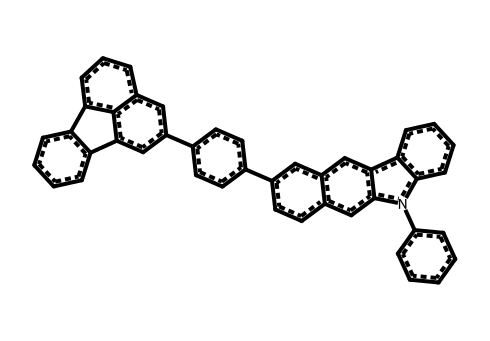 c1ccc(-n2c3ccccc3c3cc4cc(-c5ccc(-c6cc7c8c(cccc8c6)-c6ccccc6-7)cc5)ccc4cc32)cc1